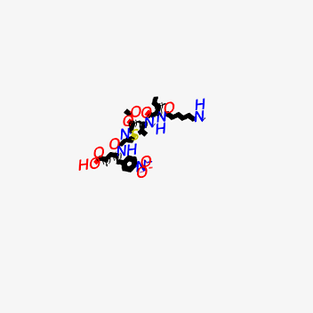 CC[C@H](C)[C@H](NC(=O)CCCCCNC)C(=O)N(C)[C@H](C[C@@H](OC(C)=O)c1nc(C(=O)N[C@@H](Cc2ccc([N+](=O)[O-])cc2)C[C@H](C)C(=O)O)cs1)C(C)C